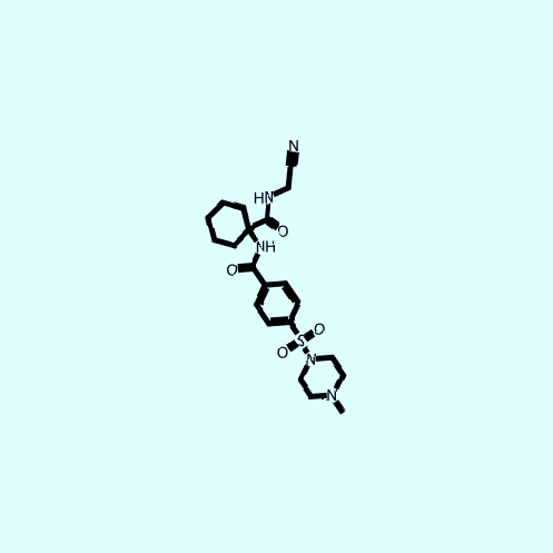 CN1CCN(S(=O)(=O)c2ccc(C(=O)NC3(C(=O)NCC#N)CCCCC3)cc2)CC1